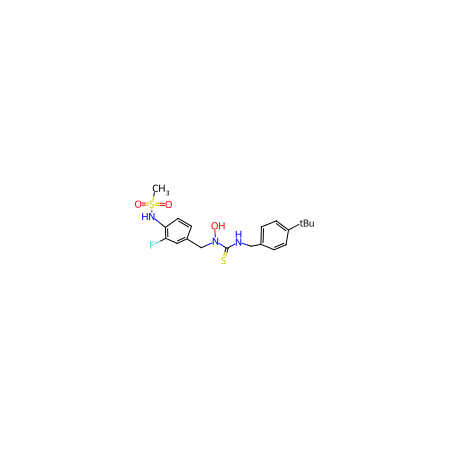 CC(C)(C)c1ccc(CNC(=S)N(O)Cc2ccc(NS(C)(=O)=O)c(F)c2)cc1